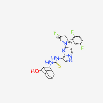 OC1C2CC3CC(C2)C(NC(=S)Nc2cnn4ccc(N5C[C@@H](F)C[C@@H]5c5cc(F)ccc5F)nc24)C1C3